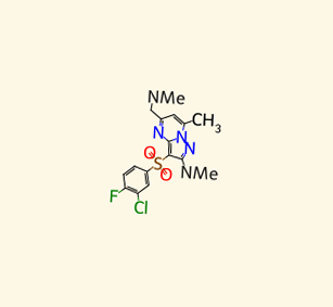 CNCc1cc(C)n2nc(NC)c(S(=O)(=O)c3ccc(F)c(Cl)c3)c2n1